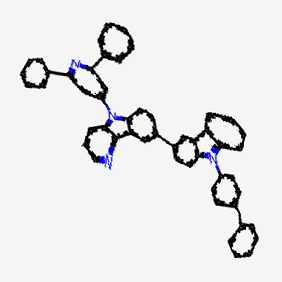 c1ccc(-c2ccc(-n3c4ccccc4c4cc(-c5ccc6c(c5)c5ncccc5n6-c5cc(-c6ccccc6)nc(-c6ccccc6)c5)ccc43)cc2)cc1